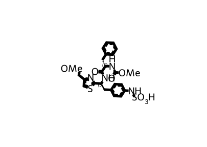 COCc1csc([C@H](Cc2ccc(NS(=O)(=O)O)cc2)NC(=O)[C@H](Cc2ccccc2)NC(=O)OC)n1